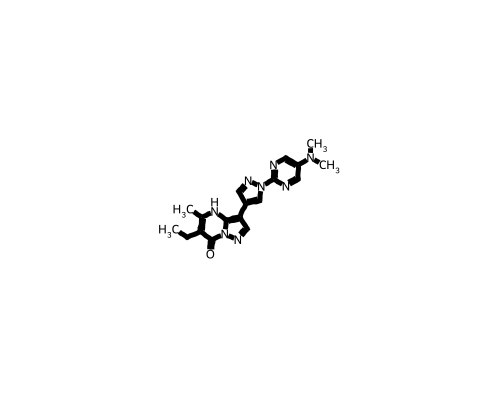 CCc1c(C)[nH]c2c(-c3cnn(-c4ncc(N(C)C)cn4)c3)cnn2c1=O